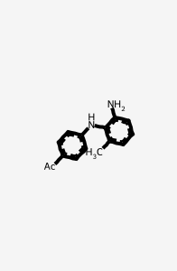 CC(=O)c1ccc(Nc2c(C)cccc2N)cc1